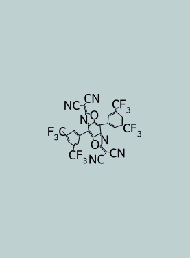 N#CC(C#N)=c1nc2c(-c3cc(C(F)(F)F)cc(C(F)(F)F)c3)c3oc(=C(C#N)C#N)nc3c(-c3cc(C(F)(F)F)cc(C(F)(F)F)c3)c2o1